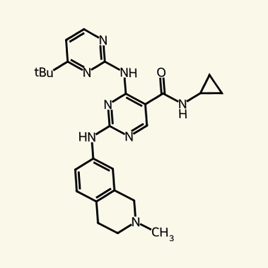 CN1CCc2ccc(Nc3ncc(C(=O)NC4CC4)c(Nc4nccc(C(C)(C)C)n4)n3)cc2C1